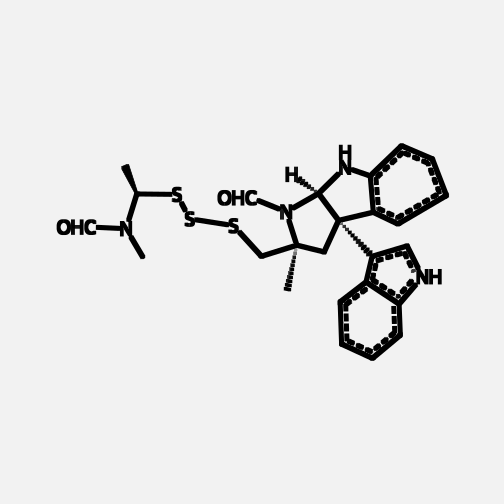 C[C@@H](SSSC[C@]1(C)C[C@]2(c3c[nH]c4ccccc34)c3ccccc3N[C@@H]2N1C=O)N(C)C=O